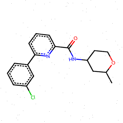 CC1CC(NC(=O)c2cccc(-c3cccc(Cl)c3)n2)CCO1